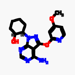 COc1ccnc(Oc2nn([C@@H]3CCCC[C@@H]3O)c3ncnc(N)c23)c1